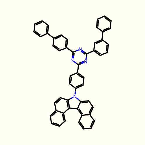 c1ccc(-c2ccc(-c3nc(-c4ccc(-n5c6ccc7ccccc7c6c6c7ccccc7ccc65)cc4)nc(-c4cccc(-c5ccccc5)c4)n3)cc2)cc1